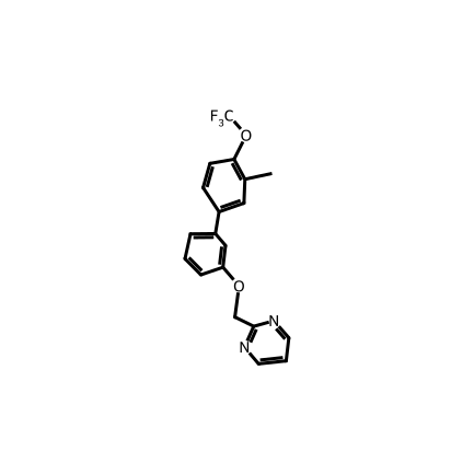 Cc1cc(-c2cccc(OCc3ncccn3)c2)ccc1OC(F)(F)F